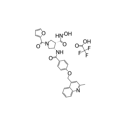 Cc1cc(COc2ccc(C(=O)N[C@@H]3CN(C(=O)c4ccco4)C[C@@H]3C(=O)NO)cc2)c2ccccc2n1.O=C(O)C(F)(F)F